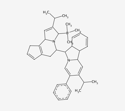 CC(C)C1=CC2C3C=CC=CC3C(C3CC4=C(CC=C4)C4C=C(C(C)C)C([B-](C)(C)C)N43)N2C=C1c1ccccc1